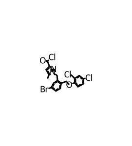 Cc1cc(C(=O)Cl)nn1Cc1cc(Br)ccc1COc1ccc(Cl)cc1Cl